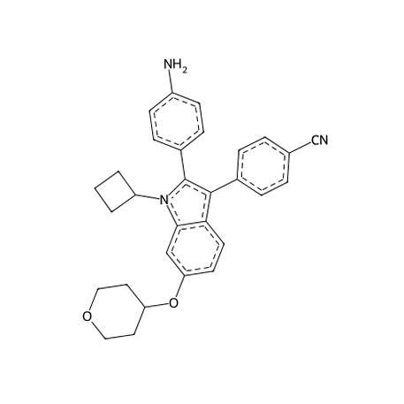 N#Cc1ccc(-c2c(-c3ccc(N)cc3)n(C3CCC3)c3cc(OC4CCOCC4)ccc23)cc1